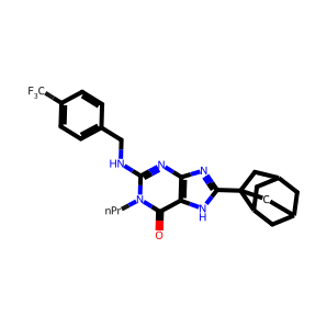 CCCn1c(NCc2ccc(C(F)(F)F)cc2)nc2nc(C34CC5CC(CC3C5)C4)[nH]c2c1=O